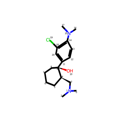 CN(C)C[C@H]1CCCC[C@]1(O)c1ccc(N(C)C)c(Cl)c1